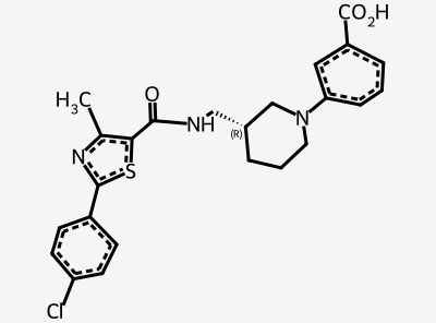 Cc1nc(-c2ccc(Cl)cc2)sc1C(=O)NC[C@H]1CCCN(c2cccc(C(=O)O)c2)C1